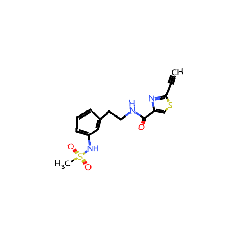 C#Cc1nc(C(=O)NCCc2cccc(NS(C)(=O)=O)c2)cs1